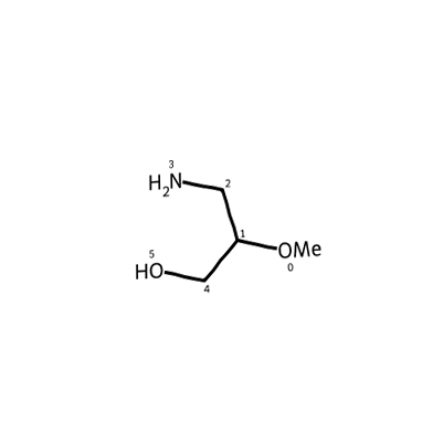 COC(CN)CO